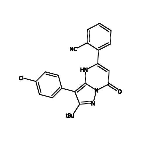 CC(C)(C)c1nn2c(=O)cc(-c3ccccc3C#N)[nH]c2c1-c1ccc(Cl)cc1